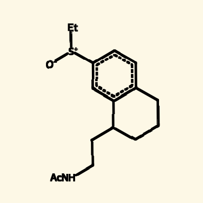 CC[S+]([O-])c1ccc2c(c1)C(CCNC(C)=O)CCC2